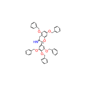 [NH][C@H]1Cc2c(OCc3ccccc3)cc(OCc3ccccc3)cc2O[C@H]1c1cc(OCc2ccccc2)c(OCc2ccccc2)c(OCc2ccccc2)c1